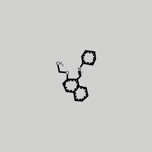 CCOc1ccc2ccccc2c1/C=N/c1ccccc1